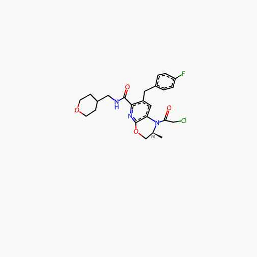 C[C@H]1COc2nc(C(=O)NCC3CCOCC3)c(Cc3ccc(F)cc3)cc2N1C(=O)CCl